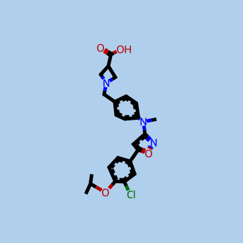 CC(C)Oc1ccc(-c2cc(N(C)c3ccc(CN4CC(C(=O)O)C4)cc3)no2)cc1Cl